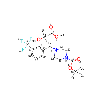 COC(=O)C(C)(C)Oc1c(CN2CCN(C(=O)OC(C)(C)C)CC2)cccc1C(F)(F)F